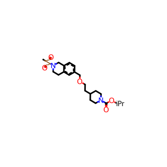 CC(C)OC(=O)N1CCC(CCOCc2ccc3c(c2)CCN(S(C)(=O)=O)C3)CC1